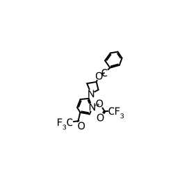 O=C(O[n+]1cc(C(=O)C(F)(F)F)ccc1N1CC(OCc2ccccc2)C1)C(F)(F)F